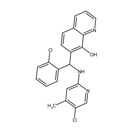 Cc1cc(NC(c2ccccc2Cl)c2ccc3cccnc3c2O)ncc1Cl